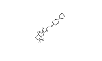 O=C(O)C1CCS(=O)(=O)N1Cc1csc(COc2ccc(-c3ccccc3)cc2)n1